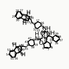 O=C(N[C@H](c1ccccc1)[C@H](NC(=O)N[C@H]1CC[C@H](CCN2[C@@H]3CC[C@H]2c2ccccc23)CC1)c1ccccc1)N[C@H]1CC[C@H](CCN2[C@@H]3CC[C@H]2c2ccccc23)CC1